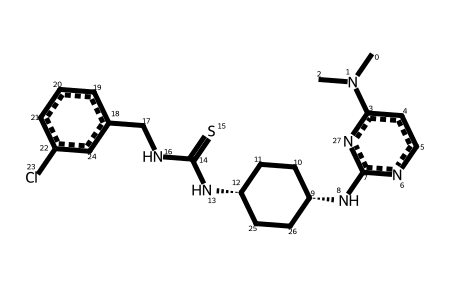 CN(C)c1ccnc(N[C@H]2CC[C@@H](NC(=S)NCc3cccc(Cl)c3)CC2)n1